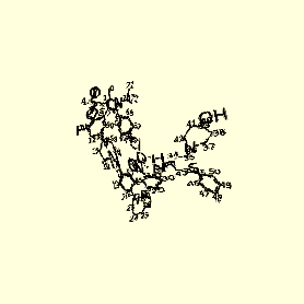 Cc1c(S(C)(=O)=O)c(-c2cc(F)cc(N3CCN(c4ccc(N5CCCO[P@@]5c5ccc(N[C@H](CCN6CCC(O)CC6)CSc6ccccc6)c([N+](=O)[O-])c5)cc4)CC3)c2)c(-c2ccc(Cl)cc2)n1C(C)C